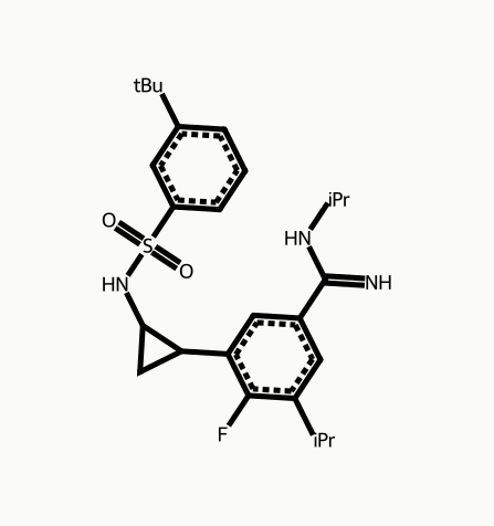 CC(C)NC(=N)c1cc(C(C)C)c(F)c(C2CC2NS(=O)(=O)c2cccc(C(C)(C)C)c2)c1